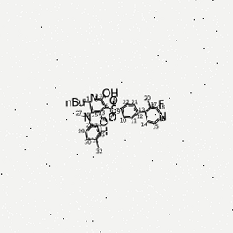 CCCCc1nc(O)c(S(=O)(=O)c2ccc(-c3ccnc(F)c3C)cc2)c(O)c1N(C)c1ccc(C)cc1